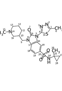 Cc1nnc(-n2c(=O)n(CC3CCCN(C)C3)c3ccc(S(=O)(=O)NC4(C)CC4)cc32)s1